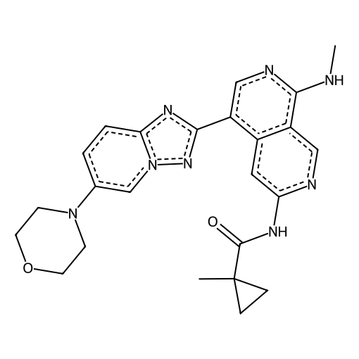 CNc1ncc(-c2nc3ccc(N4CCOCC4)cn3n2)c2cc(NC(=O)C3(C)CC3)ncc12